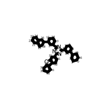 c1ccc(-c2cccc(-c3nc(-c4cccc(-c5ccc6ccccc6c5)c4)nc(-c4ccc5c(c4)oc4ccccc45)n3)c2)cc1